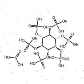 O=P(O)(O)O[C@H]1[C@H](OP(=O)(O)O)[C@@H](OP(=O)(O)O)[C@H](OP(=O)(O)O)[C@@H](OP(=O)(O)O)[C@H]1OP(=O)(O)O.O=[Si](O)O